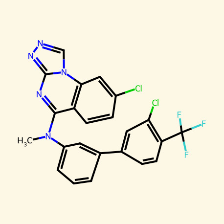 CN(c1cccc(-c2ccc(C(F)(F)F)c(Cl)c2)c1)c1nc2nncn2c2cc(Cl)ccc12